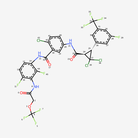 O=C(COC(F)(F)F)Nc1c(F)ccc(NC(=O)c2cc(NC(=O)[C@H]3[C@H](c4cc(F)cc(C(F)(F)F)c4)C3(Cl)Cl)ccc2Cl)c1F